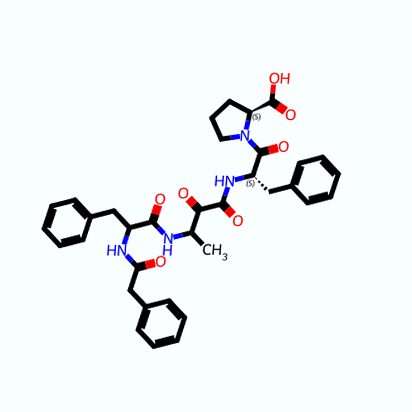 CC(NC(=O)C(Cc1ccccc1)NC(=O)Cc1ccccc1)C(=O)C(=O)N[C@@H](Cc1ccccc1)C(=O)N1CCC[C@H]1C(=O)O